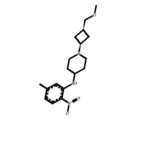 COC[C@H]1C[C@@H](N2CCC(Nc3cc(C)ccc3[N+](=O)[O-])CC2)C1